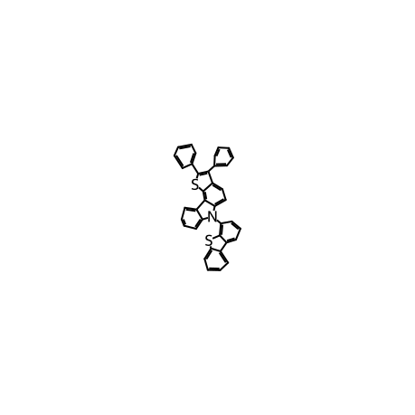 c1ccc(-c2sc3c(ccc4c3c3ccccc3n4-c3cccc4c3sc3ccccc34)c2-c2ccccc2)cc1